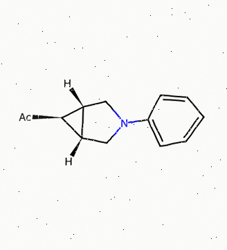 CC(=O)[C@H]1[C@@H]2CN(c3ccccc3)C[C@@H]21